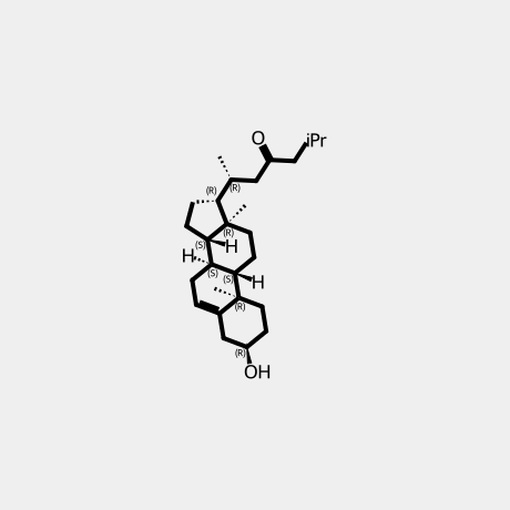 CC(C)CC(=O)C[C@@H](C)[C@H]1CC[C@H]2[C@@H]3CC=C4C[C@H](O)CC[C@]4(C)[C@H]3CC[C@]12C